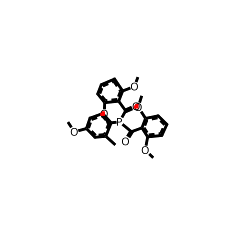 COc1ccc(P(C(=O)c2c(OC)cccc2OC)C(=O)c2c(OC)cccc2OC)c(C)c1